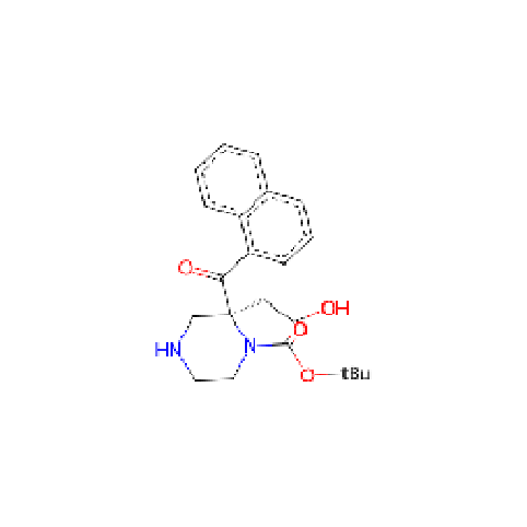 CC(C)(C)OC(=O)N1CCNC[C@@]1(CCO)C(=O)c1cccc2ccccc12